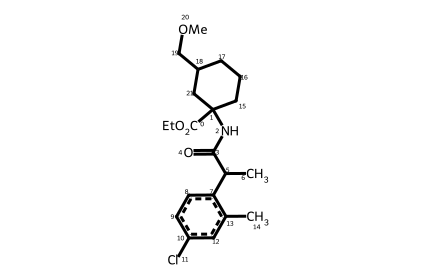 CCOC(=O)C1(NC(=O)C(C)c2ccc(Cl)cc2C)CCCC(COC)C1